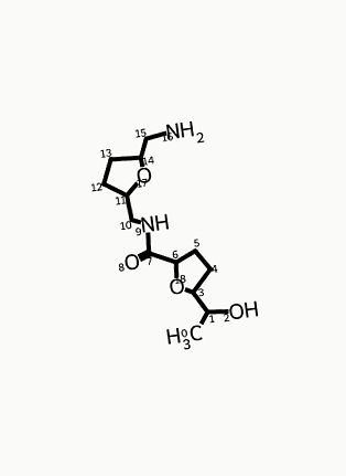 CC(O)C1CCC(C(=O)NCC2CCC(CN)O2)O1